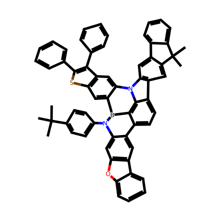 CC(C)(C)c1ccc(N2B3c4cc5sc(-c6ccccc6)c(-c6ccccc6)c5cc4-n4c5cc6c(cc5c5ccc(c3c54)-c3cc4c(cc32)oc2ccccc24)C(C)(C)c2ccccc2-6)cc1